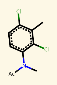 CC(=O)N(C)c1ccc(Cl)c(C)c1Cl